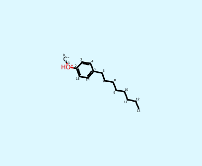 [CH2-][OH+]c1ccc(CCCCCCCC)cc1